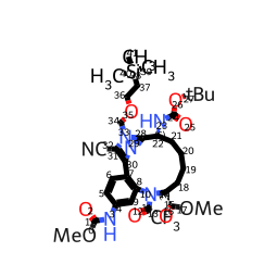 COC(=O)Nc1ccc2c(c1)N(C(=O)C(F)(F)F)[C@@H](C(=O)OC)CCCC[C@H](NC(=O)OC(C)(C)C)c1nc-2c(C#N)n1COCC[Si](C)(C)C